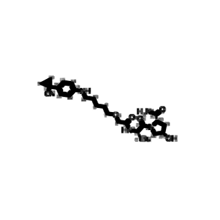 CC(C)(C)[C@H](NC(=O)COCCCCCNc1ccc(C2(C#N)CC2)cc1)C(=O)N1C[C@H](O)C[C@H]1C(N)=O